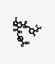 O=C(NCc1ccc(F)c(OC(F)F)c1)c1cc(C(=O)NCC23CCC(C(=O)O)(CC2)CC3)n2ncc(F)c2n1